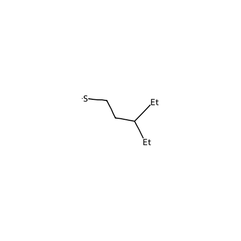 CCC(CC)CC[S]